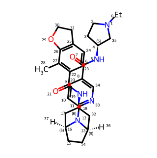 CCN1CC[C@H](NC(=O)c2ccc(N3[C@@H]4CC[C@H]3C[C@@H](NC(=O)c3ccc5c(c3C)OCC5)C4)nc2)C1